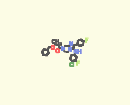 C[C@@H](CC(=O)N1CCn2c(nc(-c3ccc(F)cc3)c2Nc2ccc(Cl)c(F)c2)C1)OCc1ccccc1